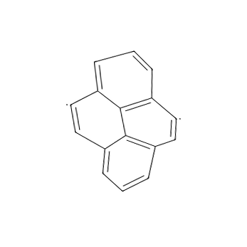 [c]1cc2cccc3c[c]c4cccc1c4c23